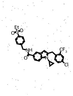 CCS(=O)(=O)c1ccc(CNC(=O)c2ccc3c(c2)cc(Cc2ccc(Cl)cc2C(F)(F)F)n3C2CC2)cc1